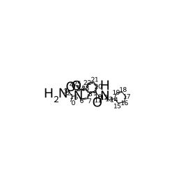 CC(C(N)=O)n1ccc2c(C(=O)NCC3CCCCC3)cccc2c1=O